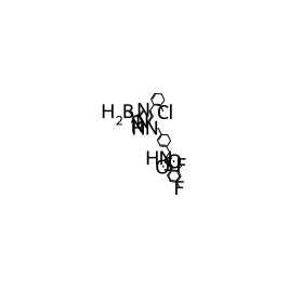 Bc1cnn2c(NCC3=CC=C(CNS(=O)(=O)c4ccc(F)cc4F)CC3)cc(C3=C(Cl)CCC=C3)nc12